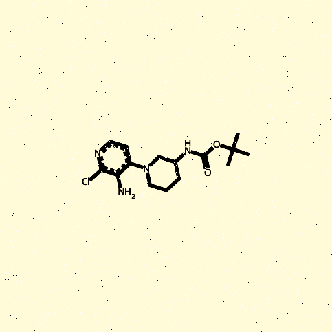 CC(C)(C)OC(=O)NC1CCCN(c2ccnc(Cl)c2N)C1